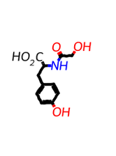 O=C(CO)NC(Cc1ccc(O)cc1)C(=O)O